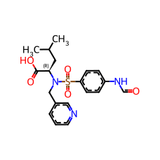 CC(C)C[C@H](C(=O)O)N(Cc1cccnc1)S(=O)(=O)c1ccc(NC=O)cc1